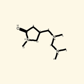 CN(C)CN(C)CC1CC(=O)N(C)C1